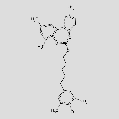 Cc1ccc2op(OCCCCCc3cc(C)c(O)c(C)c3)oc3c(C)cc(C)cc3c2c1